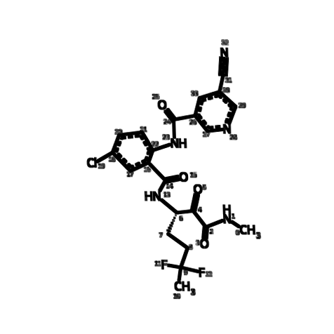 CNC(=O)C(=O)[C@H](CCC(C)(F)F)NC(=O)c1cc(Cl)ccc1NC(=O)c1cncc(C#N)c1